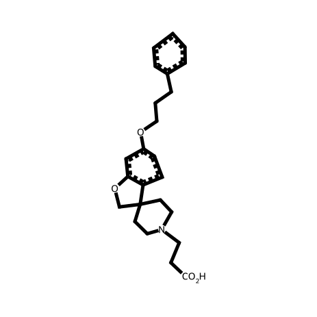 O=C(O)CCN1CCC2(CC1)COc1cc(OCCCc3ccccc3)ccc12